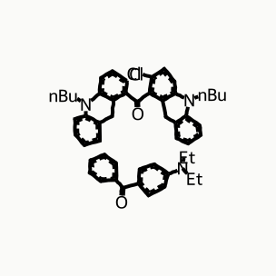 CCCCN1c2ccccc2Cc2c1ccc(Cl)c2C(=O)c1c(Cl)ccc2c1Cc1ccccc1N2CCCC.CCN(CC)c1ccc(C(=O)c2ccccc2)cc1